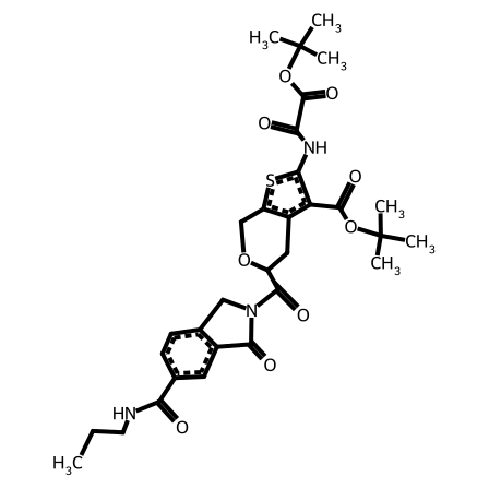 CCCNC(=O)c1ccc2c(c1)C(=O)N(C(=O)C1Cc3c(sc(NC(=O)C(=O)OC(C)(C)C)c3C(=O)OC(C)(C)C)CO1)C2